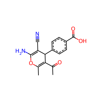 CC(=O)C1=C(C)OC(N)=C(C#N)C1c1ccc(C(=O)O)cc1